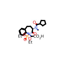 CCOP(=O)(OCC)[N+]1(CC(=O)O)C(=O)[C@@H](N(C)C(=O)C2CCCC2)CCc2ccccc21